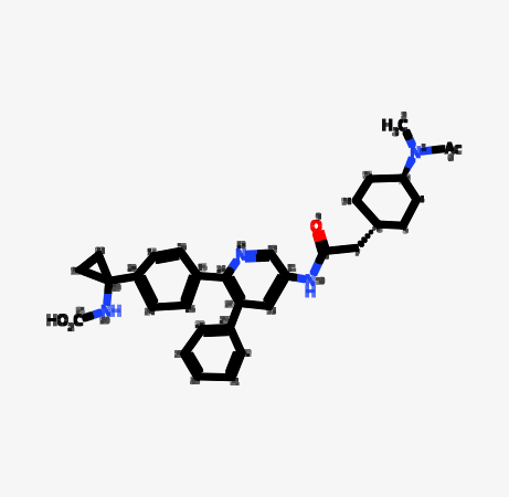 CC(=O)N(C)[C@H]1CC[C@H](CC(=O)Nc2cnc(-c3ccc(C4(NC(=O)O)CC4)cc3)c(-c3ccccc3)c2)CC1